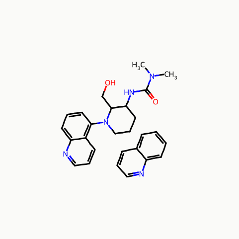 CN(C)C(=O)NC1CCCN(c2cccc3ncccc23)C1CO.c1ccc2ncccc2c1